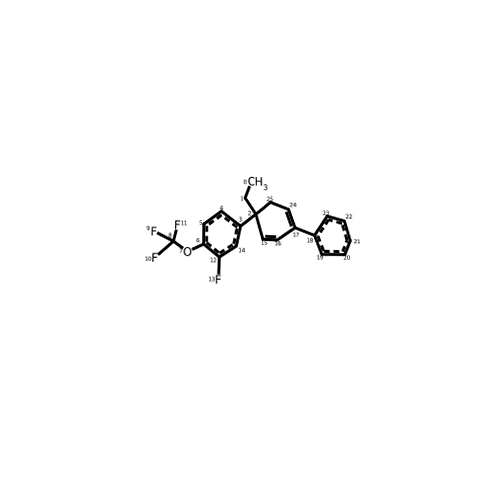 CCC1(c2ccc(OC(F)(F)F)c(F)c2)C=CC(c2ccccc2)=CC1